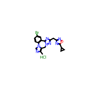 Cc1ncn2c1Cn1nc(Cc3noc(C4CC4)n3)nc1-c1cc(Br)ccc1-2.Cl